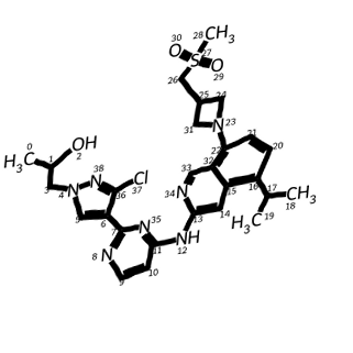 CC(O)Cn1cc(-c2nccc(Nc3cc4c(C(C)C)ccc(N5CC(CS(C)(=O)=O)C5)c4cn3)n2)c(Cl)n1